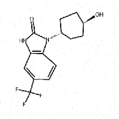 O=c1[nH]c2cc(C(F)(F)F)ccc2n1[C@H]1CC[C@H](O)CC1